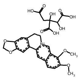 COc1ccc2cc3[n+](cc2c1OC)CCc1cc2c(cc1-3)OCO2.O=C(O)CC(O)(C(=O)O)C(O)C(=O)O